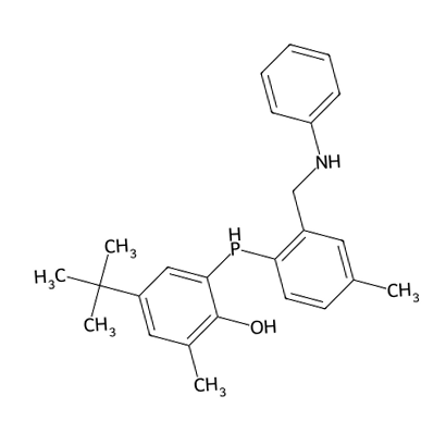 Cc1ccc(Pc2cc(C(C)(C)C)cc(C)c2O)c(CNc2ccccc2)c1